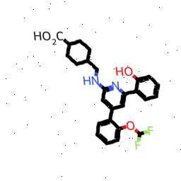 O=C(O)C1CCC(CNc2cc(-c3ccccc3OC(F)F)cc(-c3ccccc3O)n2)CC1